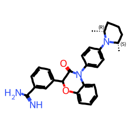 C[C@@H]1CCC[C@H](C)N1c1ccc(N2C(=O)C(c3cccc(C(=N)N)c3)Oc3ccccc32)cc1